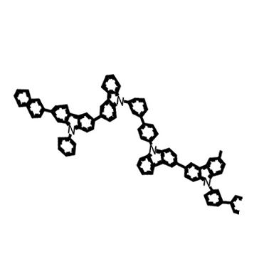 Cc1ccc2c(c1)c1cc(-c3ccc4c(c3)c3ccccc3n4-c3ccc(-c4cccc(-n5c6ccccc6c6cc(-c7ccc8c(c7)c7ccc(-c9ccc%10ccccc%10c9)cc7n8-c7ccccc7)ccc65)c4)cc3)ccc1n2-c1cccc(-c2ccccc2)c1